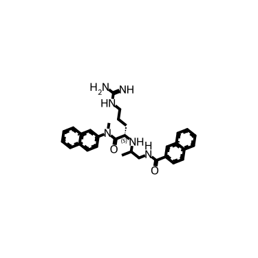 CC(CNC(=O)c1ccc2ccccc2c1)N[C@@H](CCCNC(=N)N)C(=O)N(C)c1ccc2ccccc2c1